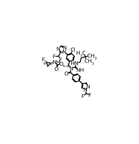 CC(C)(C)CCNC(=N)N(C(=O)c1ccc(-c2cnn(C(F)F)c2)cc1)[C@H](COC(=O)N[C@H]1C[C@H]1F)c1ccc(Cl)c(-n2ncnc2C(F)F)c1